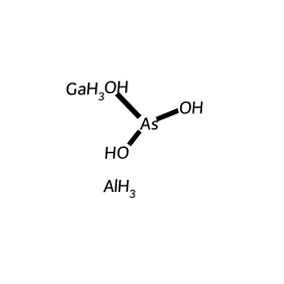 O[As](O)O.[AlH3].[GaH3]